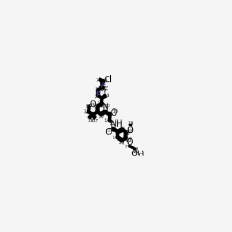 C=C(/C=C\C(F)=C(/C)Cl)c1nc(C(=O)CNC(=O)c2ccc(OCCO)c(OC)c2)cc2c1OCCC2(C)C